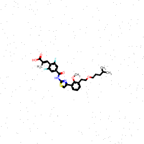 COc1c(CCOCCCC(C)C)cccc1-c1csc(NC(=O)c2cc(F)c(C=C(C)C(=O)O)c(F)c2)n1